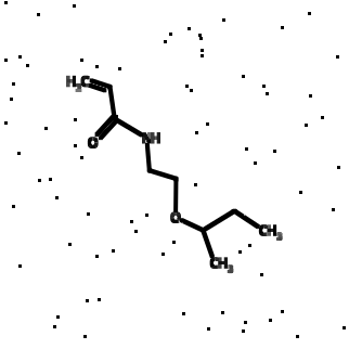 C=CC(=O)NCCOC(C)CC